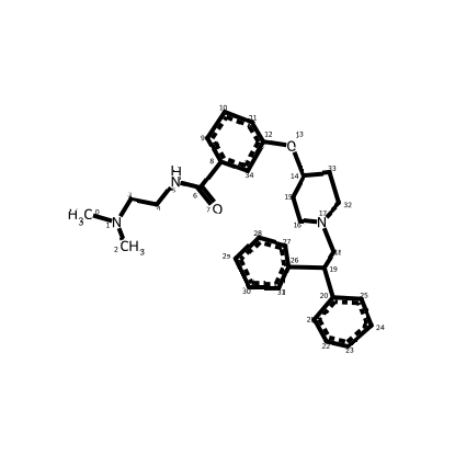 CN(C)CCNC(=O)c1cccc(OC2CCN(CC(c3ccccc3)c3ccccc3)CC2)c1